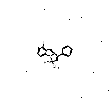 OC1(C(F)(F)F)C=C(c2ccccc2)c2cc3c(F)cccc3n21